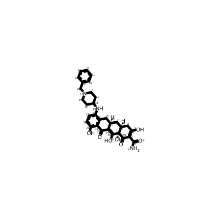 NC(=O)C1=C(O)C[C@@H]2C[C@@H]3Cc4c(NC5CCN(Cc6ccccc6)CC5)ccc(O)c4C(=O)C3=C(O)[C@]2(O)C1=O